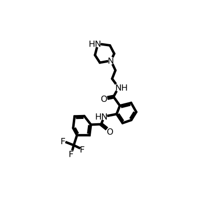 O=C(Nc1ccccc1C(=O)NCCN1CCNCC1)c1cccc(C(F)(F)F)c1